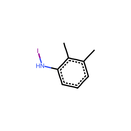 Cc1cccc(NI)c1C